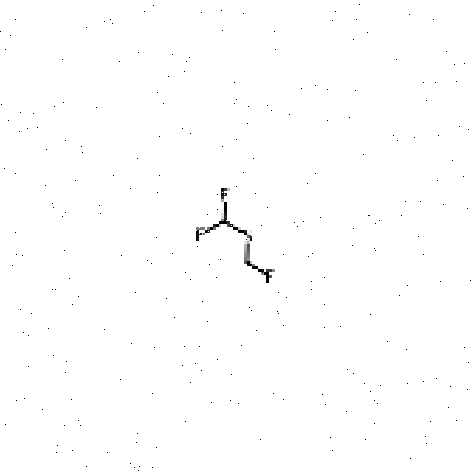 FCSC(F)F